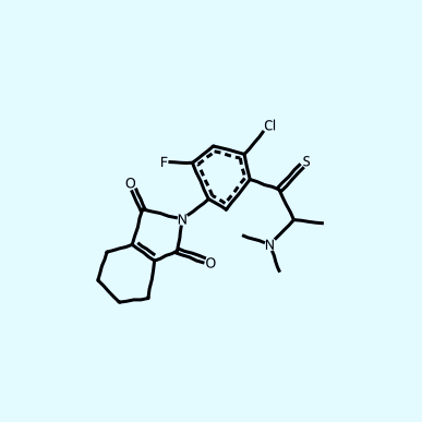 CC(C(=S)c1cc(N2C(=O)C3=C(CCCC3)C2=O)c(F)cc1Cl)N(C)C